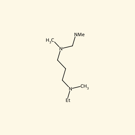 CCN(C)CCCN(C)CNC